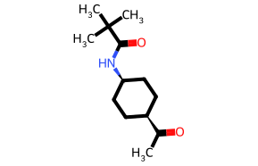 CC(=O)[C@H]1CC[C@@H](NC(=O)C(C)(C)C)CC1